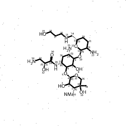 CN[C@@H]1C(O)[C@@H](OC2C(O)C(O[C@H]3O[C@H](CNCCCO)CCC3N)[C@@H](N)C[C@H]2NC(=O)[C@@H](O)CN)OCC1(C)O